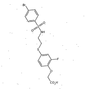 O=C(O)COc1ccc(SCCNS(=O)(=O)c2ccc(Br)cc2)cc1F